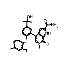 Cn1cc(-c2cc(C(C)(C)O)ccc2Oc2ccc(F)cc2F)c2cc(C(N)=O)[nH]c2c1=O